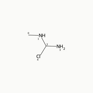 CNC(N)Cl